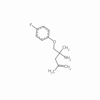 C=C(C)CC(C)(N)COc1ccc(F)cc1